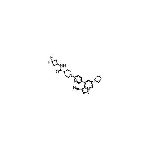 N#Cc1cnn2cc(N3CCCC3)cc(-c3ccc(N4CCC(C(=O)NC5CC(F)(F)C5)CC4)nc3)c12